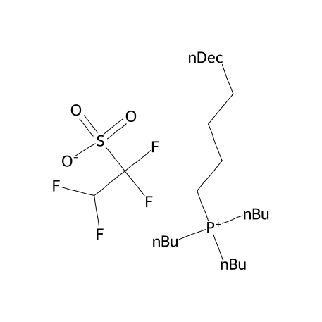 CCCCCCCCCCCCCC[P+](CCCC)(CCCC)CCCC.O=S(=O)([O-])C(F)(F)C(F)F